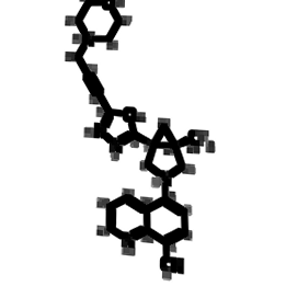 N#Cc1ccc(N2C[C@]3(c4nnc(C#CCN5CCOCC5)o4)C[C@]3(C(F)(F)F)C2)c2cccnc12